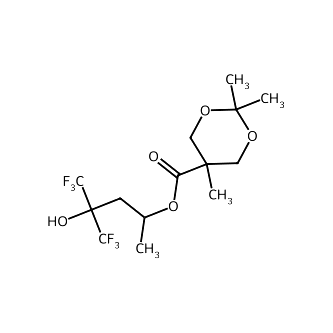 CC(CC(O)(C(F)(F)F)C(F)(F)F)OC(=O)C1(C)COC(C)(C)OC1